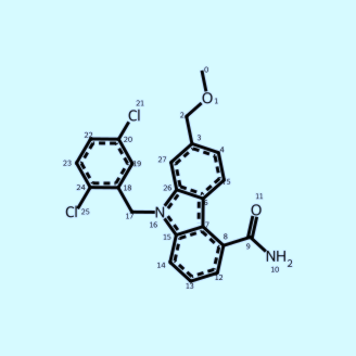 COCc1c[c]c2c3c(C(N)=O)cccc3n(Cc3cc(Cl)ccc3Cl)c2c1